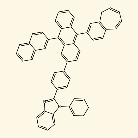 C1=CCc2cc(-c3c4ccccc4c(-c4ccc5ccccc5c4)c4cc(-c5ccc(-c6nc7ccccc7n6C6=CCCC=C6)cc5)ccc34)ccc2C=C1